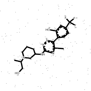 Cc1nc(NC2CCCN(C(C)CO)C2)nnc1-c1ccc(C(F)(F)F)cc1O